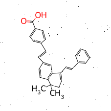 CC1(C)CC=C(C=Cc2ccccc2)c2cc(C=Cc3ccc(C(=O)O)cc3)ccc21